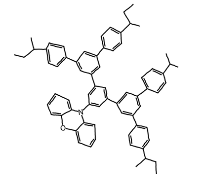 CCC(C)c1ccc(-c2cc(-c3ccc(C(C)C)cc3)cc(-c3cc(-c4cc(-c5ccc(C(C)CC)cc5)cc(-c5ccc(C(C)CC)cc5)c4)cc(N4c5ccccc5Oc5ccccc54)c3)c2)cc1